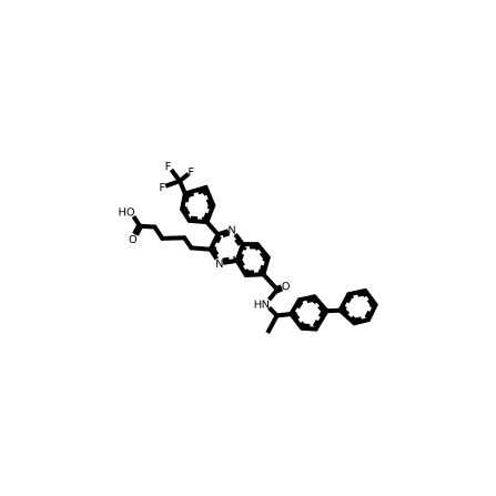 CC(NC(=O)c1ccc2nc(-c3ccc(C(F)(F)F)cc3)c(CCCCC(=O)O)nc2c1)c1ccc(-c2ccccc2)cc1